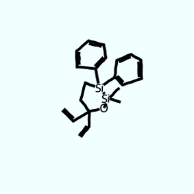 C=CC1(C=C)CC[Si](c2ccccc2)(c2ccccc2)[Si](C)(C)O1